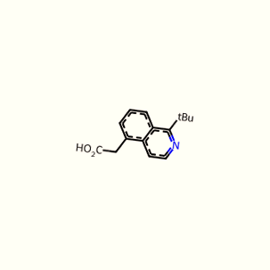 CC(C)(C)c1nccc2c(CC(=O)O)cccc12